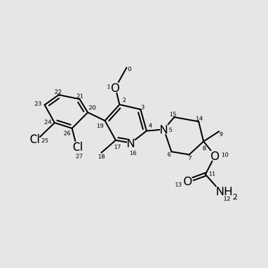 COc1cc(N2CCC(C)(OC(N)=O)CC2)nc(C)c1-c1cccc(Cl)c1Cl